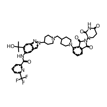 CC(C)(O)c1cc2nn(C3CCN(CC4CCN(c5cccc6c5C(=O)N(N5CCC(=O)NC5=O)C6=O)CC4)CC3)cc2cc1NC(=O)c1cccc(C(F)(F)F)n1